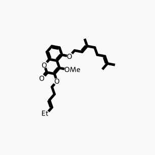 CC/C=C/CCOc1c(OC)c2c(OC/C=C(\C)CCC=C(C)C)cccc2oc1=O